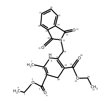 CCOC(=O)C1=C(C)NC(CN2C(=O)c3ccccc3C2=O)=C(C(=O)OCC)C1